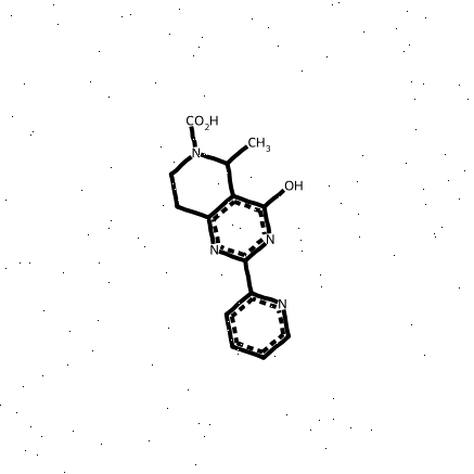 CC1c2c(O)nc(-c3ccccn3)nc2CCN1C(=O)O